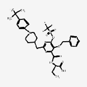 CCC(NC(=O)c1nc(CC2CCN(c3ccc(C(C)(C)C)cc3)CC2)nc(OS(=O)(=O)C(F)(F)F)c1OCc1ccccc1)C(=O)O